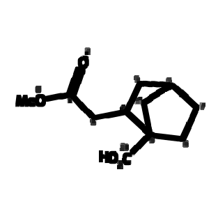 COC(=O)CC1CC2CCC1(C(=O)O)C2